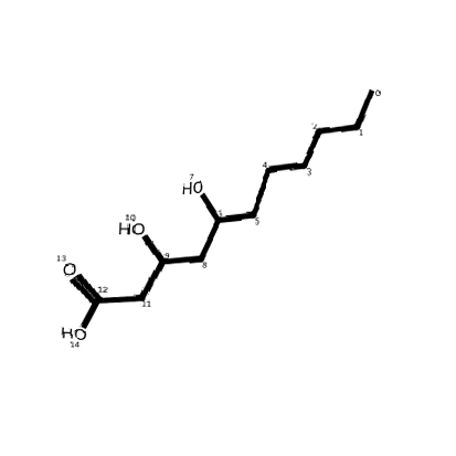 CCCCCCC(O)CC(O)CC(=O)O